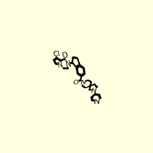 O=C(c1ccc2c(c1)C(N1CCn3ccc(Cl)c3C1=O)CC2)N1CCC2(CC1)CCN(c1ccncc1)C2